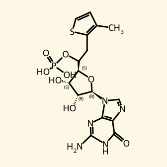 Cc1ccsc1CC(OP(=O)(O)O)[C@H]1O[C@@H](n2cnc3c(=O)[nH]c(N)nc32)[C@H](O)[C@@H]1O